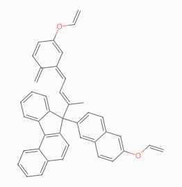 C=COc1ccc(=C)/c(=C\C=C(/C)C2(c3ccc4cc(OC=C)ccc4c3)c3ccccc3-c3c2ccc2ccccc32)c1